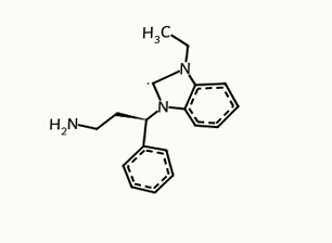 CCN1[CH]N([C@H](CCN)c2ccccc2)c2ccccc21